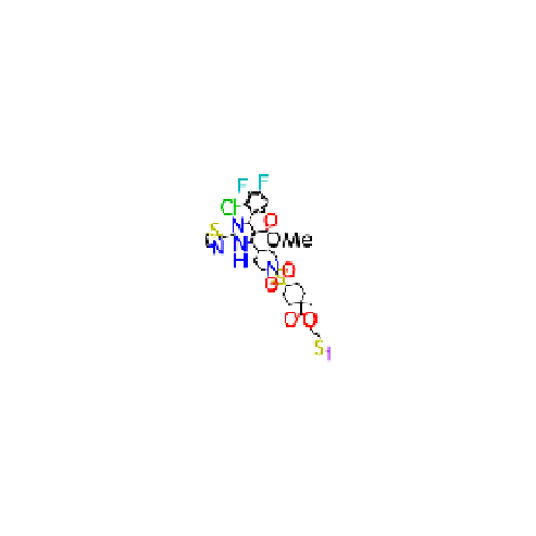 COC(=O)C1=C(C2CCN(S(=O)(=O)C3CCC(C)(C(=O)OCCSI)CC3)CC2)NC(c2nccs2)=NC1c1ccc(F)c(F)c1Cl